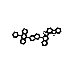 c1ccc(-c2c3ccccc3c(-c3ccc4cc(-c5c6ccccc6cc6c5oc5ccc7c8ccccc8oc7c56)ccc4c3)c3ccccc23)cc1